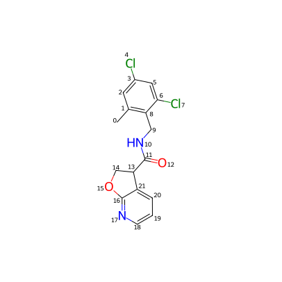 Cc1cc(Cl)cc(Cl)c1CNC(=O)C1COc2ncccc21